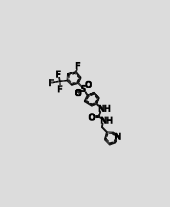 O=C(NCc1cccnc1)Nc1ccc(S(=O)(=O)c2cc(F)cc(C(F)(F)F)c2)cc1